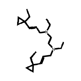 CCN(C/C=C/C1(CC)CC1)CCN(CC)C/C=C/C1(CC)CC1